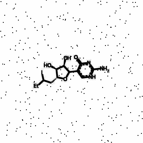 CCC(I)C[C@H]1OC(c2c[nH]c(N)nc2=O)[C@H](O)[C@@H]1O